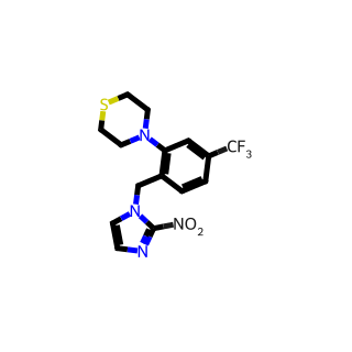 O=[N+]([O-])c1nccn1Cc1ccc(C(F)(F)F)cc1N1CCSCC1